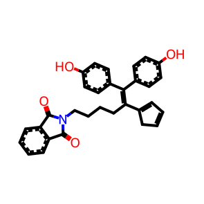 O=C1c2ccccc2C(=O)N1CCCCC(C1=CC=CC1)=C(c1ccc(O)cc1)c1ccc(O)cc1